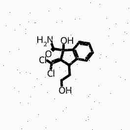 NC(=O)C1(O)C(=C(Cl)Cl)C(CCO)c2[c]cccc21